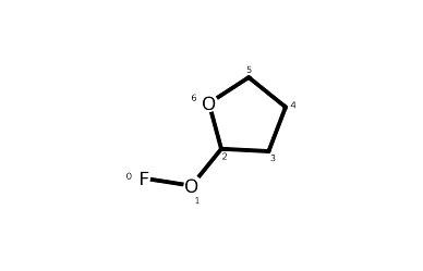 FOC1CCCO1